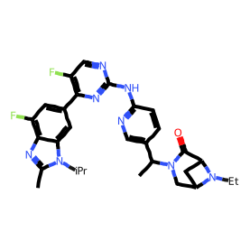 CCN1C2CC1C(=O)N(C(C)c1ccc(Nc3ncc(F)c(-c4cc(F)c5nc(C)n(C(C)C)c5c4)n3)nc1)C2